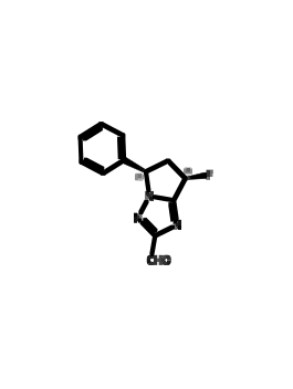 O=Cc1nc2n(n1)[C@@H](c1ccccc1)C[C@H]2F